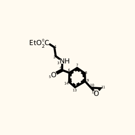 CCOC(=O)CCNC(=O)c1ccc(C2CO2)cc1